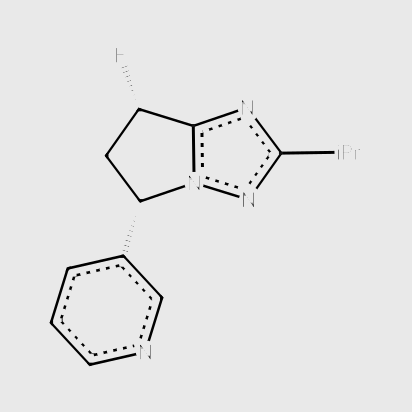 CC(C)c1nc2n(n1)[C@H](c1cccnc1)C[C@@H]2F